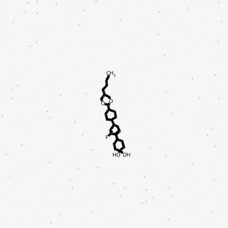 CCCCCC1COC(C2CCC(C3C=C(F)C(C4CCC(O)(O)CC4)=CC3)CC2)OC1